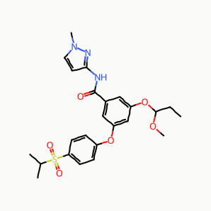 CCC(OC)Oc1cc(Oc2ccc(S(=O)(=O)C(C)C)cc2)cc(C(=O)Nc2ccn(C)n2)c1